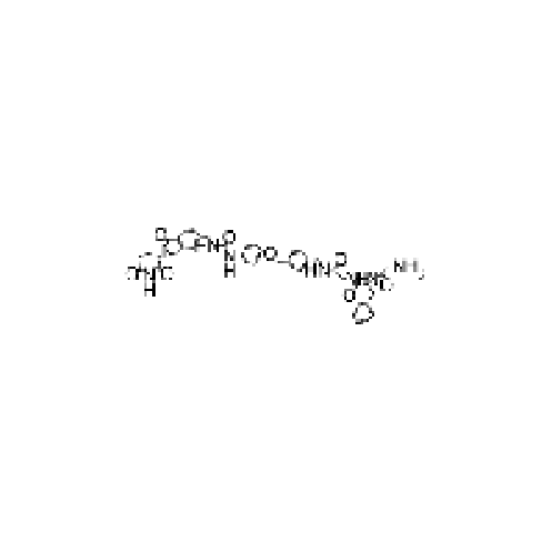 NCC(=O)N[C@@H](Cc1ccccc1)C(=O)NCC(=O)NCc1ccc(COc2ccc(NC(=O)NCc3ccc4c(c3)CN(C3CCC(=O)NC3=O)C4=O)cc2)cc1